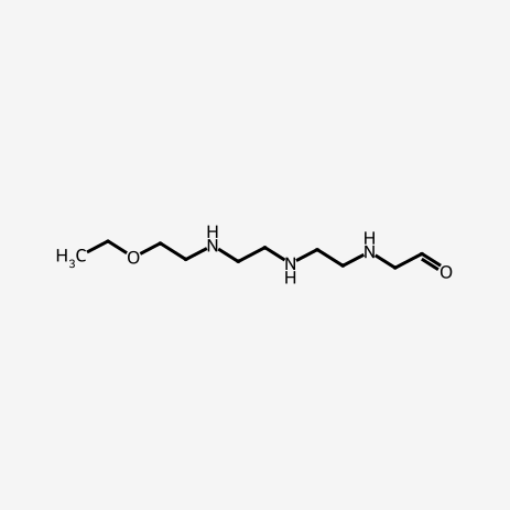 CCOCCNCCNCCNCC=O